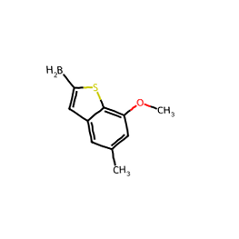 Bc1cc2cc(C)cc(OC)c2s1